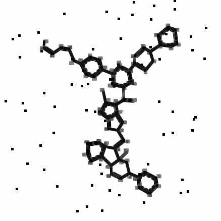 C=C(c1nc(C2=CCC(c3ccccc3)C=C2)nc(-c2ccc(C/C=C\C=C/C)cc2)n1)c1c(C)oc2c1=CC(/C=C1\c3ccccc3C3C=CC(c4ccccc4)CC13C)C=2